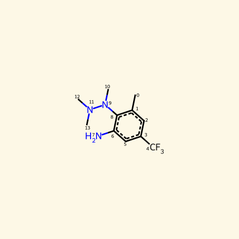 Cc1cc(C(F)(F)F)cc(N)c1N(C)N(C)C